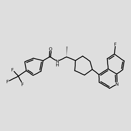 C[C@@H](NC(=O)c1ccc(C(F)(F)F)cc1)C1CCC(c2ccnc3ccc(F)cc23)CC1